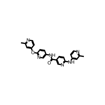 Cc1cc(Nc2ccc(C(=O)Nc3ccc(Oc4ccnc(C)c4)nc3)cn2)ccn1